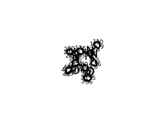 c1ccc(-c2nc(-c3ccccc3)nc(-c3ccc4c5ccccc5n(-c5cc(-c6ccc7oc8ccccc8c7c6)c6oc7ccccc7c6c5)c4c3)n2)cc1